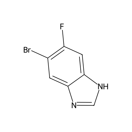 Fc1cc2[nH]cnc2cc1Br